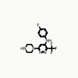 Fc1ccc(Nc2cc(N3CCNCC3)nnc2C(F)(F)F)cc1